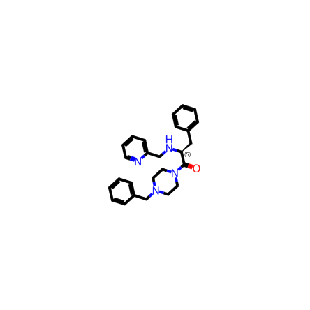 O=C([C@H](Cc1ccccc1)NCc1ccccn1)N1CCN(Cc2ccccc2)CC1